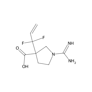 C=CC(F)(F)C1(C(=O)O)CCN(C(=N)N)C1